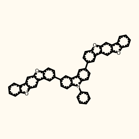 c1ccc(-n2c3ccc(-c4ccc5oc6cc7c(cc6c5c4)oc4ccccc47)cc3c3cc(-c4ccc5oc6cc7c(cc6c5c4)oc4ccccc47)ccc32)cc1